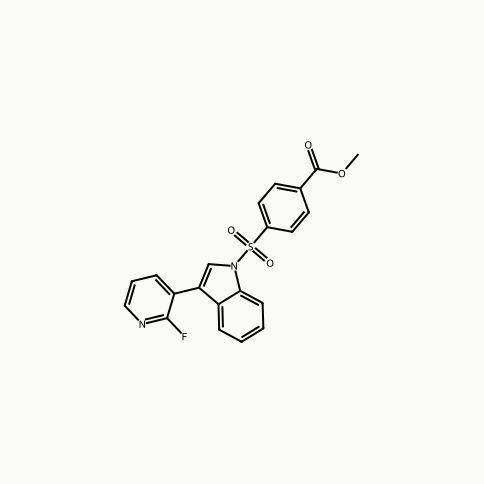 COC(=O)c1ccc(S(=O)(=O)n2cc(-c3cccnc3F)c3ccccc32)cc1